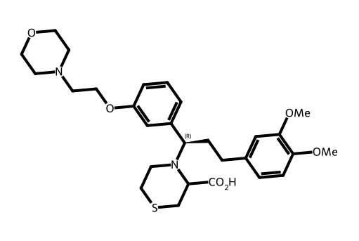 COc1ccc(CC[C@H](c2cccc(OCCN3CCOCC3)c2)N2CCSCC2C(=O)O)cc1OC